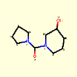 [O]C(N1CCCC1)N1CCCC(O)C1